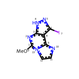 COc1nc2[nH]nc(I)c2c2nccn12